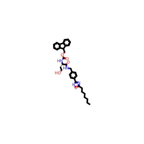 CCCCCCCc1nc(-c2ccc(CNC(=O)[C@H](CCO)NC(=O)OCC3c4ccccc4-c4ccccc43)cc2)no1